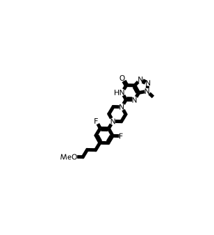 COCCCc1cc(F)c(N2CCN(c3nc4c(nnn4C)c(=O)[nH]3)CC2)c(F)c1